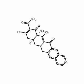 NC(=O)C1=C(O)C[C@@H]2CC3Cc4cc5ccccc5cc4C(=O)C3=C(O)[C@]2(O)C1=O